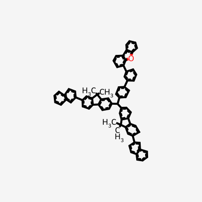 CC1(C)c2cc(-c3ccc4ccccc4c3)ccc2-c2ccc(C(c3ccc(-c4cccc(-c5cccc6c5oc5ccccc56)c4)cc3)c3ccc4c(c3)C(C)(C)c3cc(-c5ccc6ccccc6c5)ccc3-4)cc21